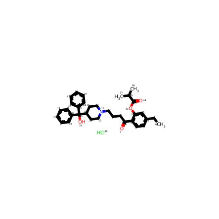 CCc1ccc(C(=O)CCCN2CCC(C(O)(c3ccccc3)c3ccccc3)CC2)c(OC(=O)C(C)C)c1.Cl